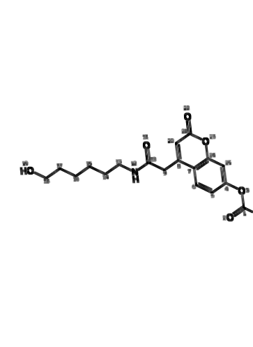 CC(C)(C)C(=O)Oc1ccc2c(CC(=O)NCCCCCCO)cc(=O)oc2c1